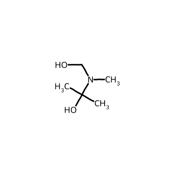 CN(CO)C(C)(C)O